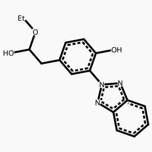 CCOC(O)Cc1ccc(O)c(-n2nc3ccccc3n2)c1